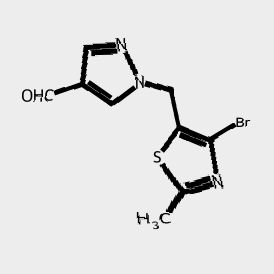 Cc1nc(Br)c(Cn2cc(C=O)cn2)s1